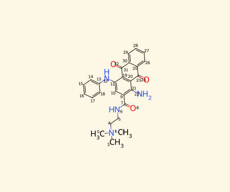 C[N+](C)(C)CCNC(=O)c1cc(Nc2ccccc2)c2c(c1N)C(=O)c1ccccc1C2=O